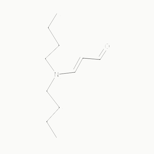 CCCCN(C=CC=O)CCCC